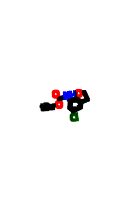 CC(C)(C)OC(=O)Nc1cc(Cl)cc2c1OCC2